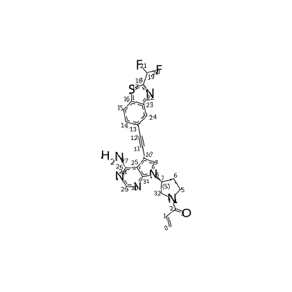 C=CC(=O)N1CC[C@H](n2cc(C#Cc3ccc4sc(C(F)F)nc4c3)c3c(N)ncnc32)C1